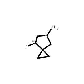 CN1C[C@H](F)C2(CC2)C1